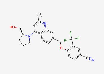 Cc1cc(N2CCC[C@H]2CO)c2ccc(COc3ccc(C#N)cc3C(F)(F)F)cc2n1